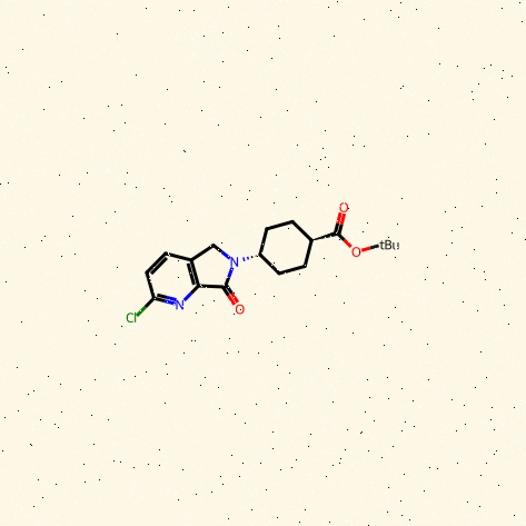 CC(C)(C)OC(=O)[C@H]1CC[C@H](N2Cc3ccc(Cl)nc3C2=O)CC1